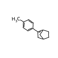 Cc1ccc(C2=C3CCC(C3)C2)cc1